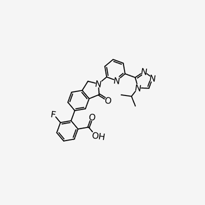 CC(C)n1cnnc1-c1cccc(N2Cc3ccc(-c4c(F)cccc4C(=O)O)cc3C2=O)n1